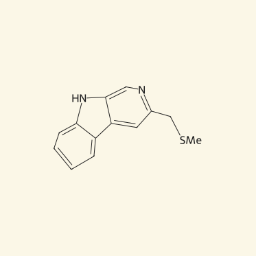 CSCc1cc2c(cn1)[nH]c1ccccc12